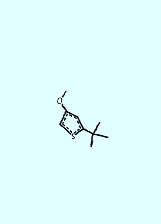 COc1csc(C(C)(C)C)c1